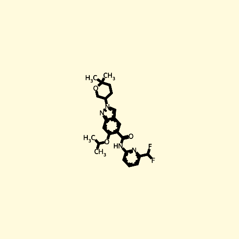 CC(C)Oc1cc2nn(C3CCC(C)(C)OC3)cc2cc1C(=O)Nc1cccc(C(F)F)n1